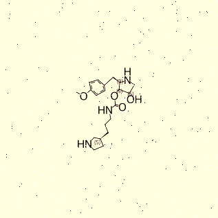 COc1ccc(C[C@H]2NC[C@H](O)[C@H]2OC(=O)NCCC[C@H]2CCNC2)cc1